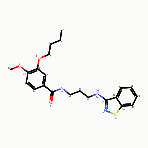 CCCCOc1cc(C(=O)NCCCNc2nsc3ccccc23)ccc1OC